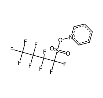 O=S(=O)(O[n+]1ccccc1)C(F)(F)C(F)(F)C(F)(F)C(F)(F)F